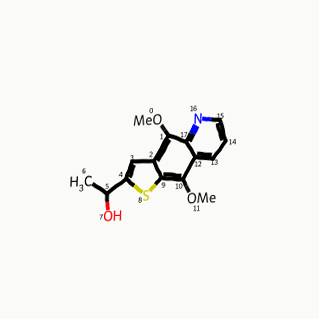 COc1c2cc(C(C)O)sc2c(OC)c2cccnc12